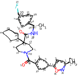 Cc1cc(-c2ccc(C(=O)N3CCC(C(=O)N[C@@H](C)c4ccc(F)cc4)(C4CCCC4)CC3)cc2)on1